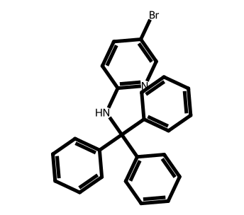 Brc1ccc(NC(c2ccccc2)(c2ccccc2)c2ccccc2)nc1